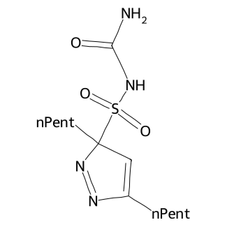 CCCCCC1=CC(CCCCC)(S(=O)(=O)NC(N)=O)N=N1